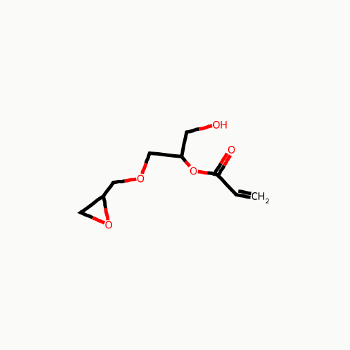 C=CC(=O)OC(CO)COCC1CO1